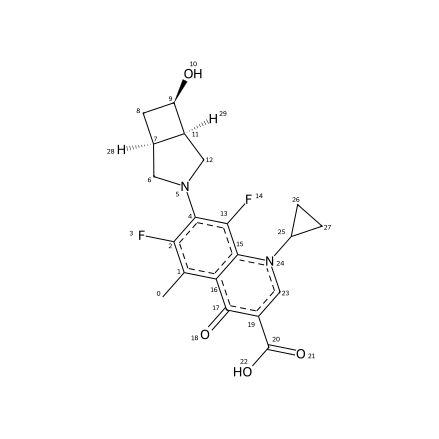 Cc1c(F)c(N2C[C@H]3C[C@@H](O)[C@H]3C2)c(F)c2c1c(=O)c(C(=O)O)cn2C1CC1